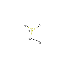 C[CH][S+](C)C